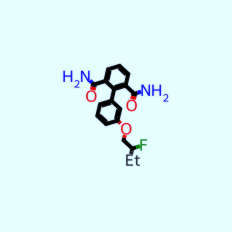 CCC(F)COc1cccc(-c2c(C(N)=O)cccc2C(N)=O)c1